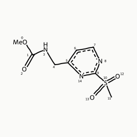 COC(=O)NCc1ccnc(S(C)(=O)=O)n1